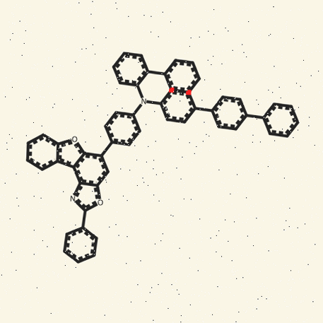 c1ccc(-c2ccc(-c3ccc(N(c4ccc(-c5cc6oc(-c7ccccc7)nc6c6c5oc5ccccc56)cc4)c4ccccc4-c4ccccc4)cc3)cc2)cc1